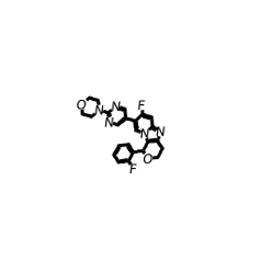 Fc1cc2nc3c(n2cc1-c1cnc(N2CCOCC2)nc1)C(c1ccccc1F)OCC3